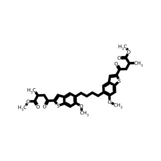 COC(=O)C(C)CC(=O)c1cc2cc(CCCCc3cc4cc(C(=O)CC(C)C(=O)OC)sc4cc3OC)c(OC)cc2s1